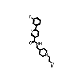 COCCN1CCC(CNC(=O)c2ccc(-c3cccc(F)c3)nc2)CC1